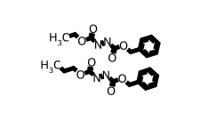 CCCOC(=O)N=NC(=O)OCc1ccccc1.CCOC(=O)N=NC(=O)OCc1ccccc1